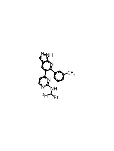 [2H]C(CC)Nc1nccc(-c2cc3cn[nH]c3nc2-c2cccc(C(F)(F)F)c2)n1